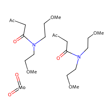 COCCN(CCOC)C(=O)CC(C)=O.COCCN(CCOC)C(=O)CC(C)=O.[O]=[Mo]=[O]